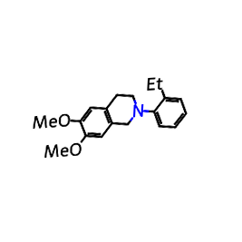 [CH2]Cc1ccccc1N1CCc2cc(OC)c(OC)cc2C1